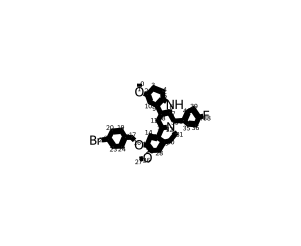 COc1ccc2[nH]c3c(c2c1)CC1c2cc(OCc4ccc(Br)cc4)c(OC)cc2CCN1C3c1ccc(F)cc1